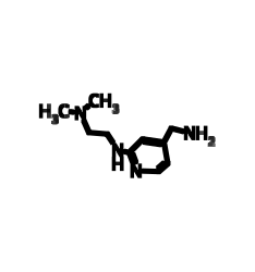 CN(C)CCNc1cc(CN)ccn1